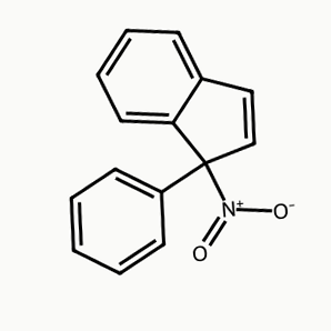 O=[N+]([O-])C1(c2ccccc2)C=Cc2ccccc21